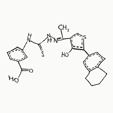 CC(=NNC(=S)Nc1cccc(C(=O)O)c1)c1csc(-c2ccc3c(c2)CCCC3)c1O